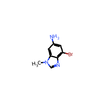 Cn1cnc2c(Br)cc(N)cc21